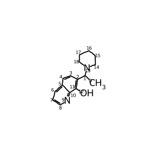 CC(c1ccc2cccnc2c1O)N1CCCCC1